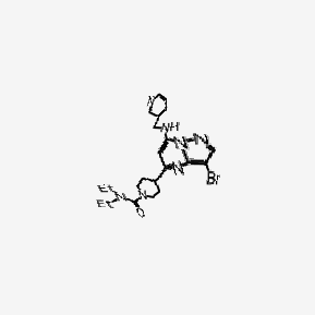 CCN(CC)C(=O)N1CCC(c2cc(NCc3cccnc3)n3ncc(Br)c3n2)CC1